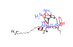 CCCCCCCCCCCCCC(=O)NCC(=O)N(NC)C1C(=O)N[C@@H](C)C(=O)NC(C(=O)O)Cc2ccc(OCCN)c(c2)-c2cc1ccc2OCCN